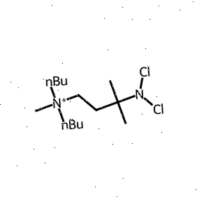 CCCC[N+](C)(CCCC)CCC(C)(C)N(Cl)Cl